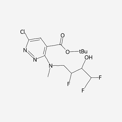 CN(CC(F)C(O)C(F)F)c1nnc(Cl)cc1C(=O)OC(C)(C)C